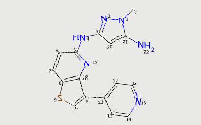 Cn1nc(Nc2ccc3scc(-c4ccncc4)c3n2)cc1N